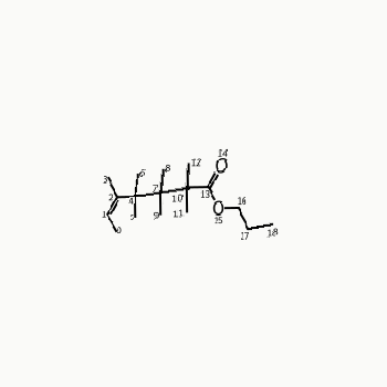 CC=C(C)C(C)(C)C(C)(C)C(C)(C)C(=O)OCCC